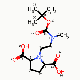 CN(CCN1C(C(=O)O)CCC1C(=O)O)C(=O)OC(C)(C)C